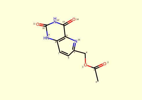 CC(=O)OCc1ccc2[nH]c(=O)[nH]c(=O)c2n1